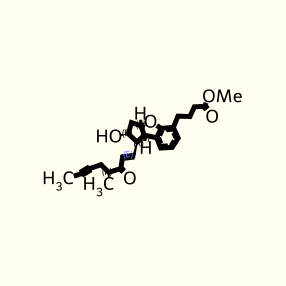 CC#CC[C@@H](C)C(=O)/C=C/[C@@H]1[C@H]2c3cccc(CCCC(=O)OC)c3O[C@H]2C[C@H]1O